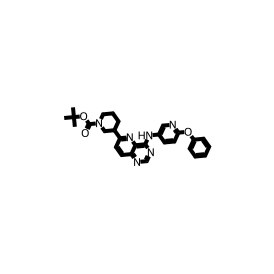 CC(C)(C)OC(=O)N1CCCC(c2ccc3ncnc(Nc4ccc(Oc5ccccc5)nc4)c3n2)C1